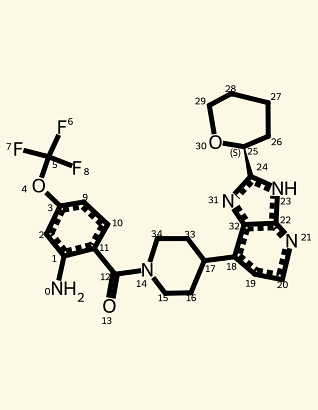 Nc1cc(OC(F)(F)F)ccc1C(=O)N1CCC(c2ccnc3[nH]c([C@@H]4CCCCO4)nc23)CC1